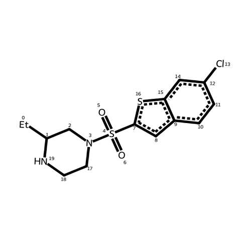 CCC1CN(S(=O)(=O)c2cc3ccc(Cl)cc3s2)CCN1